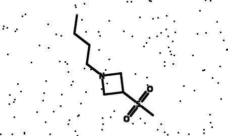 CCCCN1CC(S(C)(=O)=O)C1